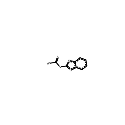 O=C(O)Sc1nc2ccccc2s1